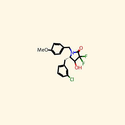 COc1ccc(CN2C(=O)C(F)(F)C(O)[C@@H]2Cc2cccc(Cl)c2)cc1